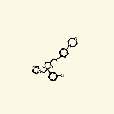 Clc1cccc(C2(Cn3ccnc3)OCC(COc3ccc(N4CCOCC4)cc3)O2)c1